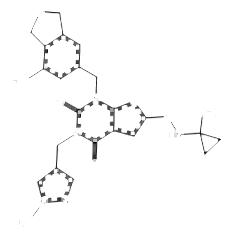 Cc1cc(Cn2c(=O)n(Cc3cnn(C)c3)c(=O)c3cc(SNC4(C)CC4)sc32)cc2c1COC2